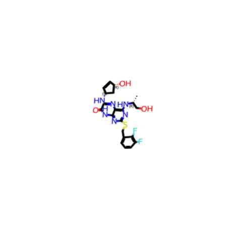 C[C@H](CO)Nc1nc(SCc2cccc(F)c2F)nc2[nH]c(=O)c(N[C@@H]3C=C[C@H](O)C3)nc12